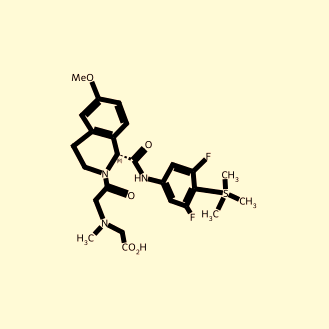 COc1ccc2c(c1)CCN(C(=O)CN(C)CC(=O)O)[C@H]2C(=O)Nc1cc(F)c(S(C)(C)C)c(F)c1